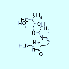 CC(O)C(O)C(CO)OC(C)n1cccc2c(=O)nc(N)nc1-2